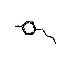 CC[CH2][Al][c]1ccc(C)cc1